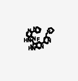 Fc1c(-c2cncc(CN3CCCC3)c2)ncc2[nH]nc(-c3nc4c(-c5ccccn5)nccc4[nH]3)c12